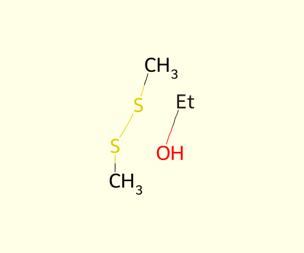 CCO.CSSC